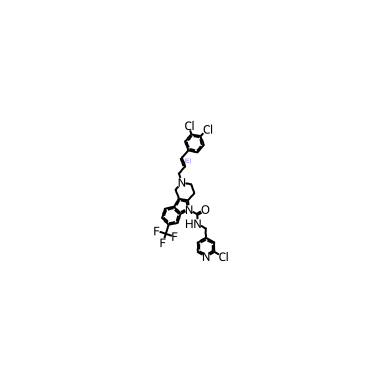 O=C(NCc1ccnc(Cl)c1)n1c2c(c3ccc(C(F)(F)F)cc31)CN(C/C=C/c1ccc(Cl)c(Cl)c1)CC2